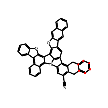 N#Cc1cc2c(c3c1C1c4ccccc4C3c3ccccc31)c1cc3c4cc5ccccc5cc4oc3c3c4c5oc6ccccc6c5c5ccccc5c4n2c13